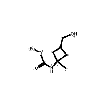 [CH2]C1(NC(=O)OC(C)(C)C)CC(CO)C1